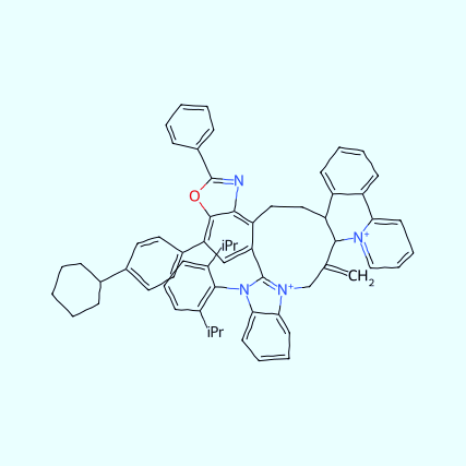 C=C1C[n+]2c(n(-c3c(C(C)C)cccc3C(C)C)c3ccccc32)-c2cc(-c3ccc(C4CCCCC4)cc3)c3oc(-c4ccccc4)nc3c2CCC2c3ccccc3-c3cccc[n+]3C12